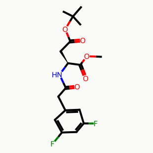 COC(=O)[C@H](CC(=O)OC(C)(C)C)NC(=O)Cc1cc(F)cc(F)c1